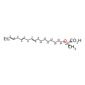 CCC=CCC=CCC=CCCCCCCCCOC(C)C(=O)O